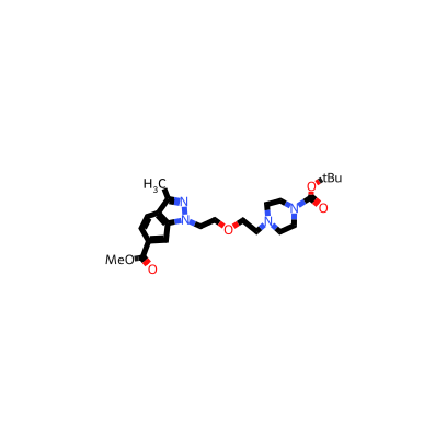 COC(=O)c1ccc2c(C)nn(CCOCCN3CCN(C(=O)OC(C)(C)C)CC3)c2c1